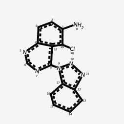 Nc1ccc2ncnc(-n3nnc4ccccc43)c2c1Cl